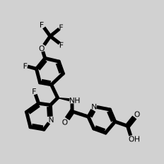 O=C(O)c1ccc(C(=O)N[C@H](c2ccc(OC(F)(F)F)c(F)c2)c2ncccc2F)nc1